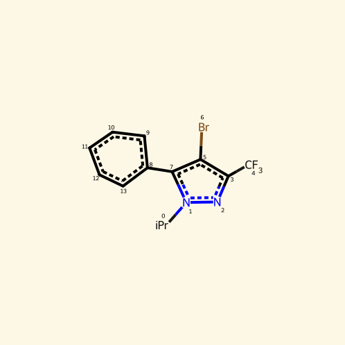 CC(C)n1nc(C(F)(F)F)c(Br)c1-c1ccccc1